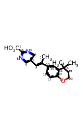 CC(=Cc1cnc(C(=O)O)nc1)c1ccc2c(c1)C(C)(C)CCO2